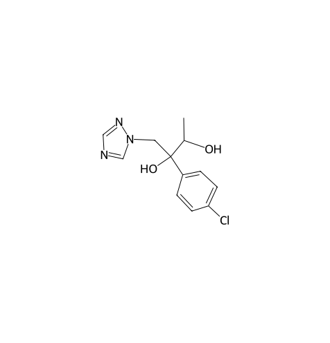 CC(O)C(O)(Cn1cncn1)c1ccc(Cl)cc1